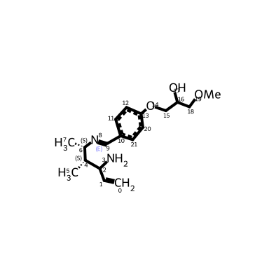 C=CC(N)[C@H](C)[C@H](C)/N=C/c1ccc(OCC(O)COC)cc1